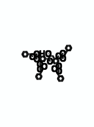 O=C(OCc1ccccc1)Oc1cc(OC(=O)OCc2ccccc2)c2c(c1)OC(c1ccc(OC(=O)OCc3ccccc3)c(OC(=O)OCc3ccccc3)c1)[C@H](O)C2